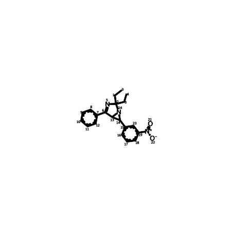 CCC1(CC)N=C(c2ccccc2)C2C(c3cccc([N+](=O)[O-])c3)N21